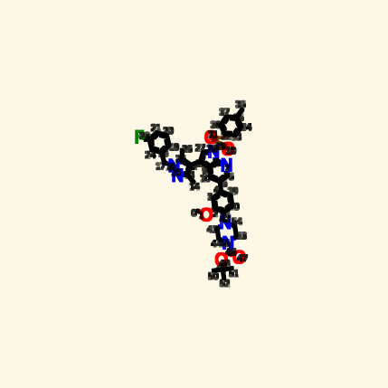 COc1cc(-c2cnc3c(c2)c(-c2c(C)nn(Cc4cccc(F)c4)c2C)cn3S(=O)(=O)c2ccc(C)cc2)ccc1N1CCN(C(=O)OC(C)(C)C)CC1